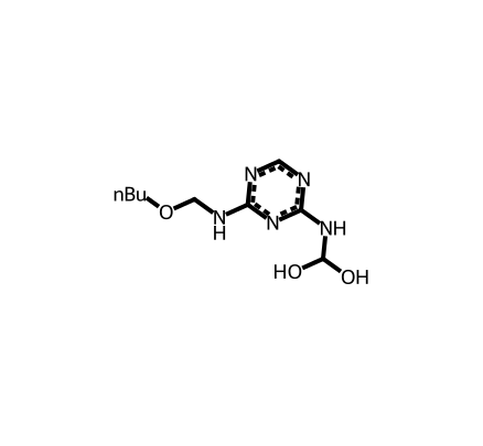 CCCCOCNc1ncnc(NC(O)O)n1